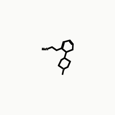 CNCCC1=CC=CCC1C1CCN(C)CC1